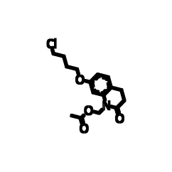 CC(=O)OCN1C(=O)CCc2ccc(OCCCCCl)cc21